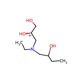 CCC(O)CN(CC)C[C@@H](O)CO